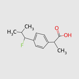 CC(C(=O)O)c1ccc(C(F)C(C)C)cc1